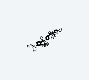 CCCNc1ccc2c(=O)n(-c3ccc(C(=O)NS(=O)(=O)c4ccc(Cl)s4)cc3)c(=O)[nH]c2c1